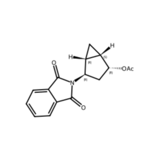 CC(=O)O[C@@H]1C[C@@H](N2C(=O)c3ccccc3C2=O)[C@@H]2C[C@@H]21